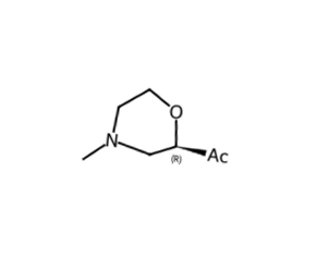 CC(=O)[C@H]1CN(C)CCO1